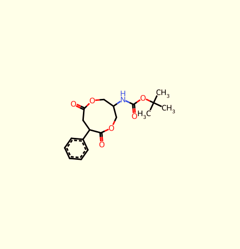 CC(C)(C)OC(=O)NC1COC(=O)CC(c2ccccc2)C(=O)OC1